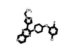 CCn1cc(-c2nc3cnccc3nc2N2CCC(Oc3cc(Cl)ccc3F)CC2)cn1